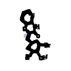 O=C1Nc2ncccc2O/C1=C/c1cc(Br)c(O)c(Br)c1